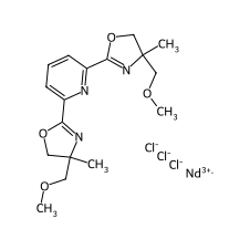 COCC1(C)COC(c2cccc(C3=NC(C)(COC)CO3)n2)=N1.[Cl-].[Cl-].[Cl-].[Nd+3]